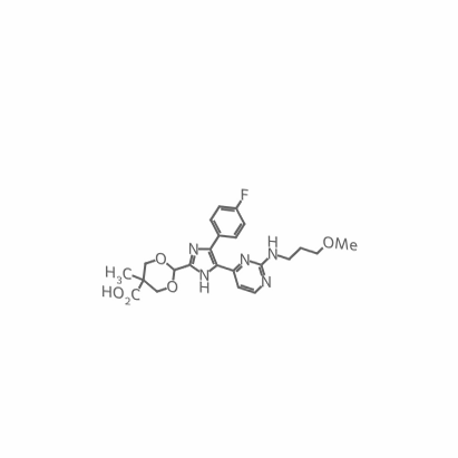 COCCCNc1nccc(-c2[nH]c(C3OCC(C)(C(=O)O)CO3)nc2-c2ccc(F)cc2)n1